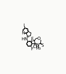 C[C@]1(c2cc(N[C@H]3CCc4cc(I)cnc43)ccc2F)NC(=S)COCC1(F)F